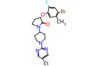 CCc1cnc(N2CCC(N3CCC(Oc4cc(C)c(Br)cc4F)C3=O)CC2)nc1